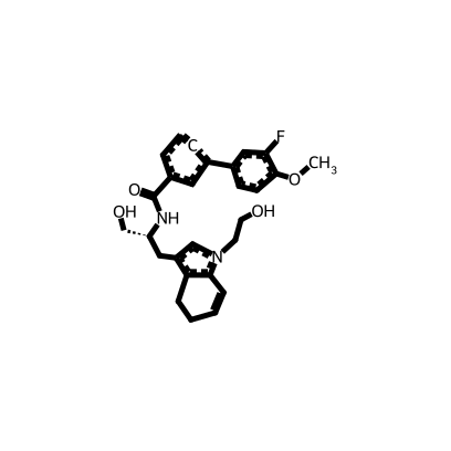 COc1ccc(-c2cccc(C(=O)N[C@@H](CO)Cc3cn(CCO)c4c3CCC=C4)c2)cc1F